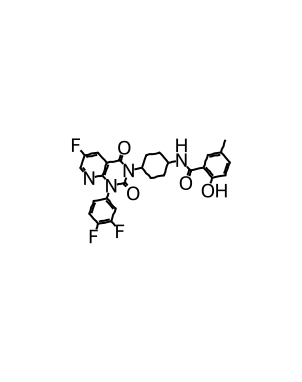 Cc1ccc(O)c(C(=O)NC2CCC(n3c(=O)c4cc(F)cnc4n(-c4ccc(F)c(F)c4)c3=O)CC2)c1